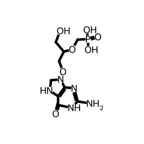 Nc1nc2c(c(=O)[nH]1)NCN2OCC(CO)OCP(=O)(O)O